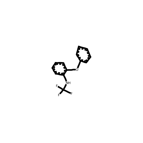 FC(F)(F)Nc1ccc[c]c1Oc1ccccc1